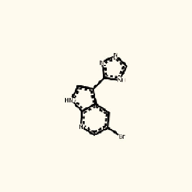 Brc1cnc2[nH]cc(-c3nnc[nH]3)c2c1